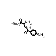 CC(C)(C)OC(=O)C(N)CNC(=O)c1ccc(N)cc1